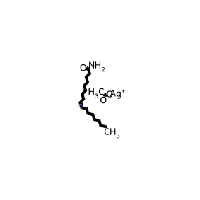 CC(=O)[O-].CCCCCCCC/C=C\CCCCCCCC(N)=O.[Ag+]